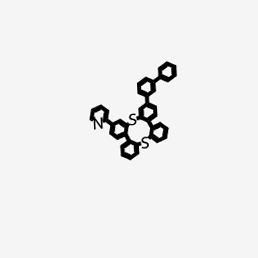 c1ccc(-c2cccc(-c3ccc4c(c3)Sc3cc(-c5ccccn5)ccc3-c3ccccc3Sc3ccccc3-4)c2)cc1